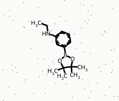 CCNc1cccc(B2OC(C)(C)C(C)(C)O2)c1